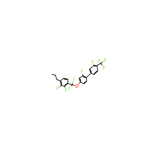 CCCc1ccc(C(F)(F)Oc2ccc(-c3ccc(C(F)(F)F)c(F)c3)c(F)c2)c(F)c1F